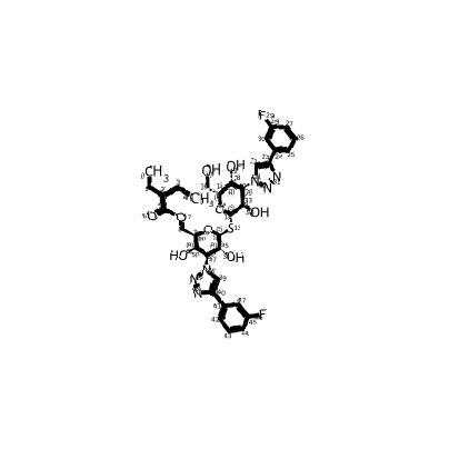 CCC(CC)C(=O)OC[C@H]1O[C@@H](S[C@@H]2O[C@H](CO)[C@H](O)[C@H](n3cc(-c4cccc(F)c4)nn3)[C@H]2O)[C@H](O)[C@@H](n2cc(-c3cccc(F)c3)nn2)[C@H]1O